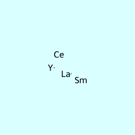 [Ce].[La].[Sm].[Y]